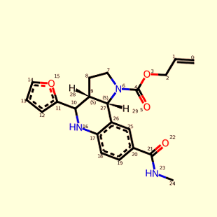 C=CCOC(=O)N1CC[C@H]2C(c3ccco3)Nc3ccc(C(=O)NC)cc3[C@H]21